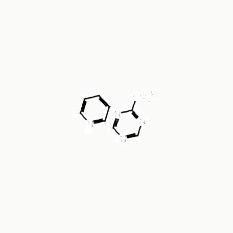 O=C(O)c1ncncn1.c1ccncc1